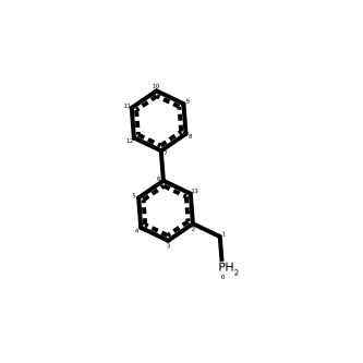 PCc1cccc(-c2ccccc2)c1